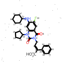 O=C(O)C(=CCn1c(=O)c2cc(F)c(NC3CCCCC3)cc2n(C2CCCC2)c1=O)c1ccccc1